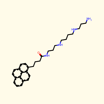 NCCCNCCCCNCCCNC(=O)CCCc1ccc2ccc3cccc4ccc1c2c34